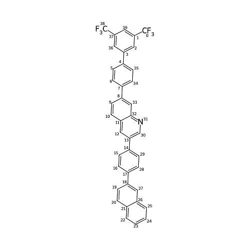 FC(F)(F)c1cc(-c2ccc(-c3ccc4cc(-c5ccc(-c6ccc7ccccc7c6)cc5)cnc4c3)cc2)cc(C(F)(F)F)c1